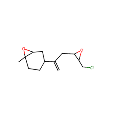 C=C(CC1OC1CCl)C1CCC2(C)OC2C1